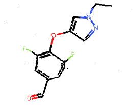 CCn1cc(Oc2c(F)cc(C=O)cc2F)cn1